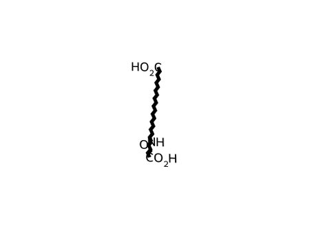 O=C(O)C=CC(=O)NCCCCCCCCCCCCCCCCCCC(=O)O